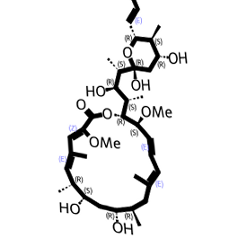 C/C=C/[C@H]1O[C@@](O)([C@@H](C)[C@H](O)[C@H](C)[C@H]2OC(=O)/C(OC)=C/C(C)=C/[C@@H](C)[C@@H](O)C[C@@H](O)[C@H](C)C/C(C)=C/C=C/[C@@H]2OC)C[C@@H](O)[C@@H]1C